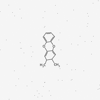 CC1C=C2Oc3ccccc3OC2=CC1C